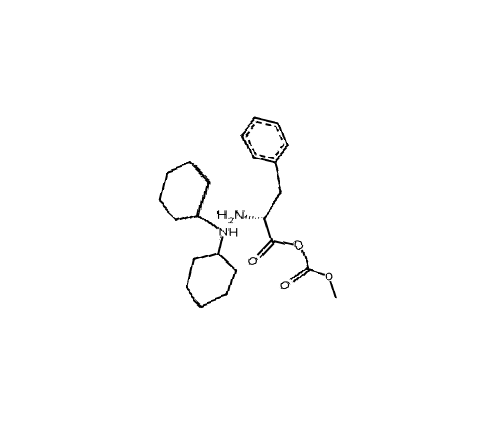 C1CCC(NC2CCCCC2)CC1.COC(=O)OC(=O)[C@H](N)Cc1ccccc1